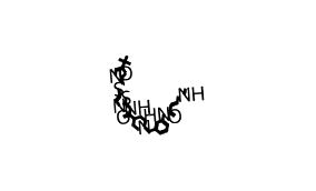 CNC/C=C/C(=O)Nc1cccc(CN2CCC(C(=O)Nc3ncc(SCc4ncc(C(C)(C)C)o4)s3)CC2)c1